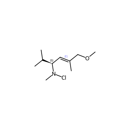 COC/C(C)=C/[C@H](C(C)C)N(C)Cl